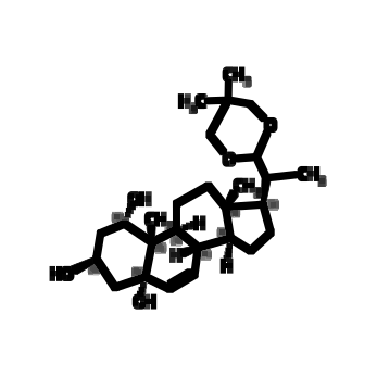 CC(C1OCC(C)(C)CO1)[C@H]1CC[C@H]2[C@@H]3C=C[C@@]4(O)C[C@@H](O)C[C@H](O)[C@]4(C)[C@H]3CC[C@]12C